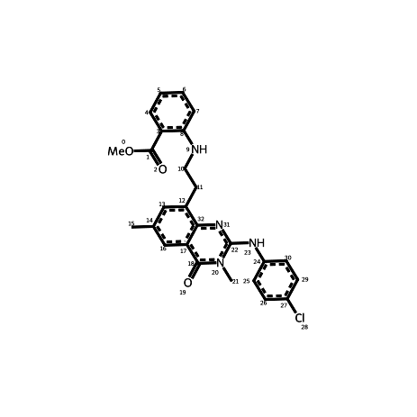 COC(=O)c1ccccc1NCCc1cc(C)cc2c(=O)n(C)c(Nc3ccc(Cl)cc3)nc12